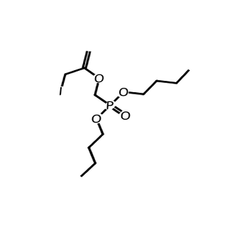 C=C(CI)OCP(=O)(OCCCC)OCCCC